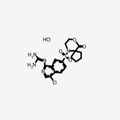 Cl.NC(N)=Nc1ncc(Cl)c2ccc(S(=O)(=O)N3CCOC(=O)C34CCCC4)cc12